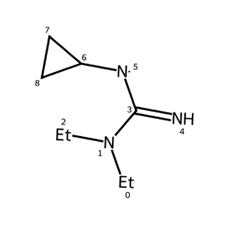 CCN(CC)C(=N)[N]C1CC1